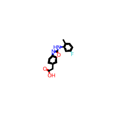 Cc1ccc(F)cc1Nc1nc2ccc(CC(=O)O)cc2o1